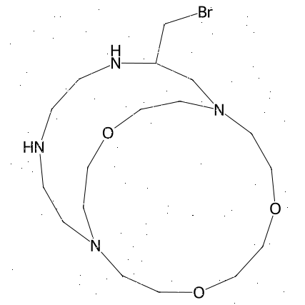 BrCC1CN2CCOCCOCCN(CCNCCN1)CCOCC2